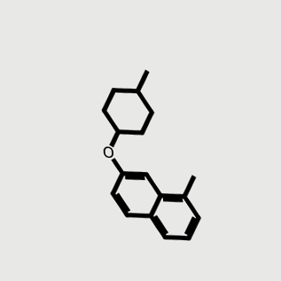 Cc1cccc2ccc(OC3CCC(C)CC3)cc12